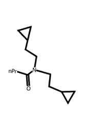 CCCC(=O)N(CCC1CC1)CCC1CC1